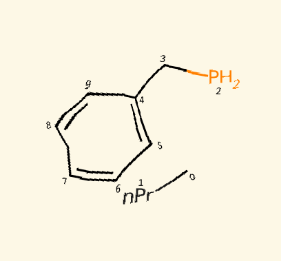 CCCC.PCc1ccccc1